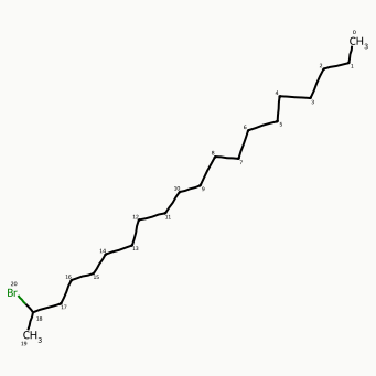 CCCCCCCCCCCCCCCCCCC(C)Br